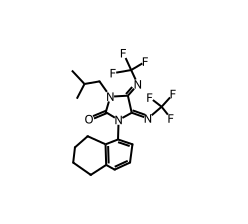 CC(C)CN1C(=O)N(c2cccc3c2CCCC3)C(=NC(F)(F)F)C1=NC(F)(F)F